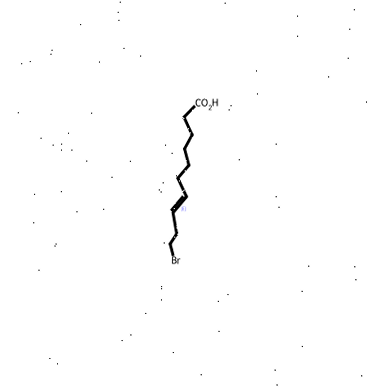 O=C(O)CCCCC/C=C/CCBr